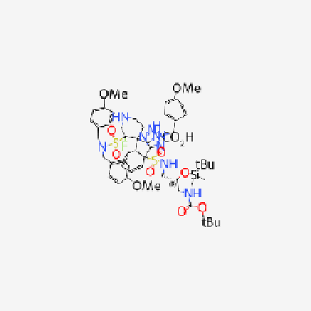 COc1ccc(CN(Cc2ccc(OC)cc2)S(=O)(=O)C2(F)CNCCC2(CNC(=O)O)C2C=CC=CC2(c2nnn(Cc3ccc(OC)cc3)n2)S(=O)(=O)NC[C@@H](CNC(=O)OC(C)(C)C)O[Si](C)(C)C(C)(C)C)cc1